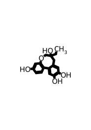 CCC1(O)COc2cc(O)ccc2-c2cc(O)c(O)cc2C1